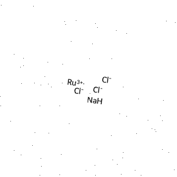 [Cl-].[Cl-].[Cl-].[NaH].[Ru+3]